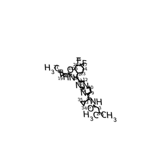 CC(C)CC(=O)N[C@@H](c1ccn2cc([C@@H](NC(=O)[C@H]3C[C@@H]3C)C3CCC(F)(F)CC3)nc2n1)C1CC1